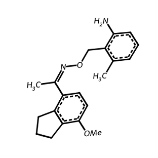 COc1ccc(/C(C)=N\OCc2c(C)cccc2N)c2c1CCC2